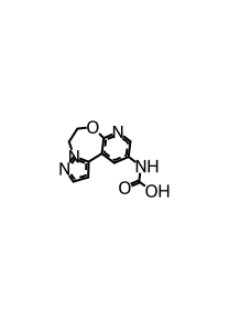 O=C(O)Nc1cnc2c(c1)-c1ccnn1CCO2